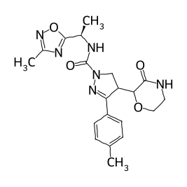 Cc1ccc(C2=NN(C(=O)N[C@H](C)c3nc(C)no3)CC2C2OCCNC2=O)cc1